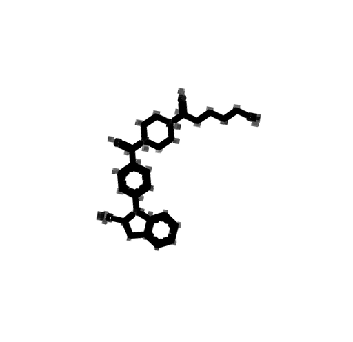 CC1Cc2ccccc2N1c1ccc(C(=O)N2CCN(C(=O)CCCCO)CC2)cc1